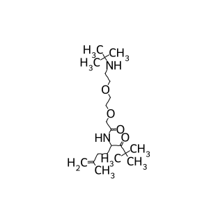 C=C(C)CCC(NC(=O)COCCOCCNC(C)(C)C)C(=O)C(C)(C)C